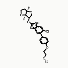 CCOCCOc1ccc(-c2nc3nc(OC4CO[C@@H]5CCO[C@H]45)[nH]c3cc2Cl)cc1